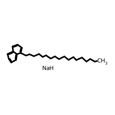 CCCCCCCCCCCCCCCCCCc1cccc2ccccc12.[NaH]